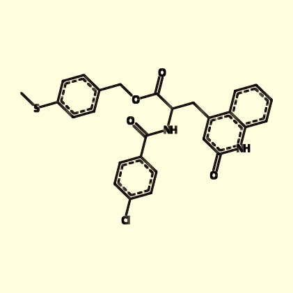 CSc1ccc(COC(=O)C(Cc2cc(=O)[nH]c3ccccc23)NC(=O)c2ccc(Cl)cc2)cc1